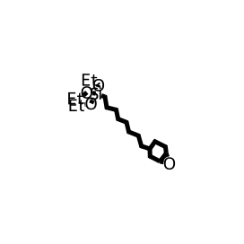 CCO[Si](CCCCCCCCC1CCC2OC2C1)(OCC)OCC